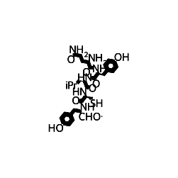 CC(C)C[C@H](NC(=O)[C@H](Cc1ccc(O)cc1)NC(=O)[C@@H](N)CCC(N)=O)C(=O)N[C@@H](CS)C(=O)N[C@H]([C]=O)Cc1ccc(O)cc1